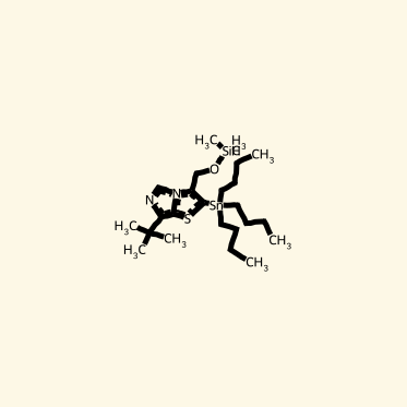 CCC[CH2][Sn]([CH2]CCC)([CH2]CCC)[c]1sc2c(C(C)(C)C)ncn2c1CO[SiH](C)C